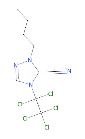 CCCCN1N=CN(C(Cl)(Cl)C(Cl)(Cl)Cl)C1C#N